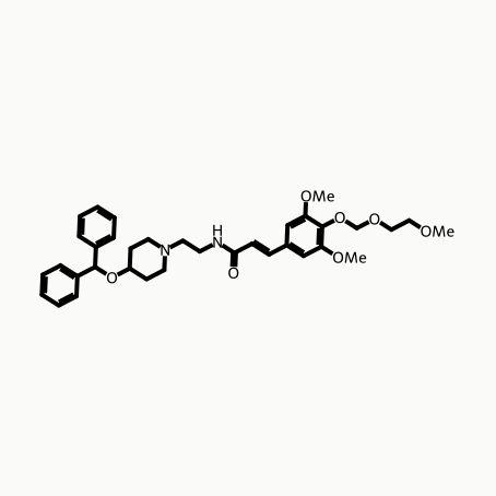 COCCOCOc1c(OC)cc(C=CC(=O)NCCN2CCC(OC(c3ccccc3)c3ccccc3)CC2)cc1OC